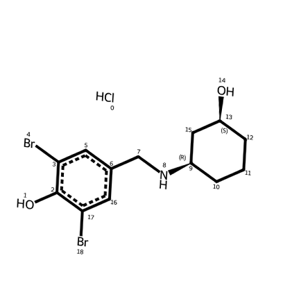 Cl.Oc1c(Br)cc(CN[C@@H]2CCC[C@H](O)C2)cc1Br